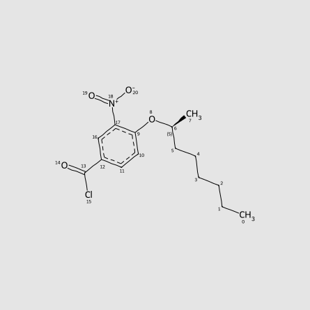 CCCCCC[C@H](C)Oc1ccc(C(=O)Cl)cc1[N+](=O)[O-]